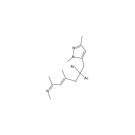 C/N=C(C)\C=C(/C)CC(Cc1cc(C)nn1C)(C(C)=O)C(C)=O